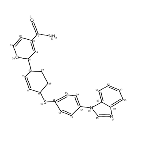 NC(=O)C1=CC(C2C=CC(Sc3ccc(-n4cnc5ccccc54)cc3)CC2)OC=C1